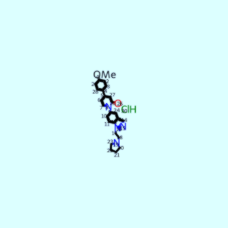 COc1ccc(-c2ccn(-c3ccc4c(cnn4CCN4CCCC4)c3)c(=O)c2)cc1.Cl